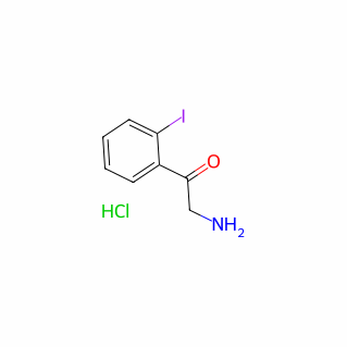 Cl.NCC(=O)c1ccccc1I